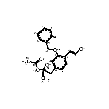 CC=Cc1ccc(CC(C)(C)OC(C)=O)cc1OCc1ccccc1